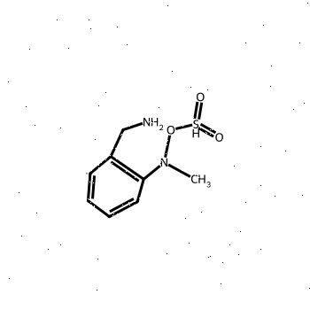 CN(O[SH](=O)=O)c1ccc[c]c1CN